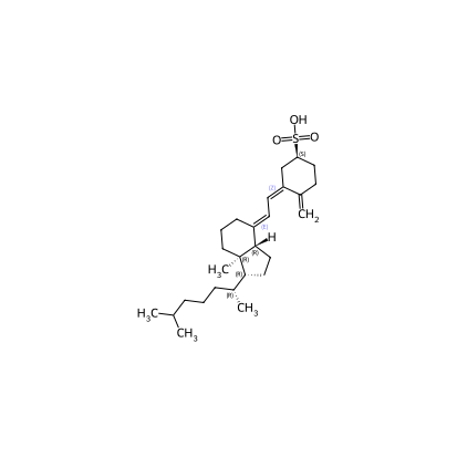 C=C1CC[C@H](S(=O)(=O)O)C/C1=C/C=C1\CCC[C@]2(C)[C@@H]([C@H](C)CCCC(C)C)CC[C@@H]12